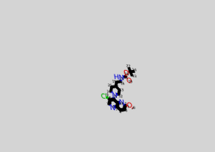 COc1ccc2ncc(Cl)c(N3CCC(CCNC(=O)OC(C)(C)C)CC3)c2n1